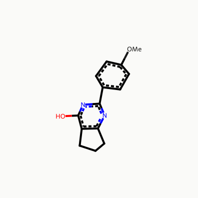 COc1ccc(-c2nc(O)c3c(n2)CCC3)cc1